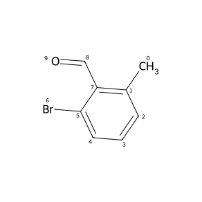 Cc1cccc(Br)c1C=O